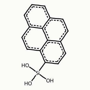 O[Si](O)(O)c1ccc2ccc3cccc4ccc1c2c34